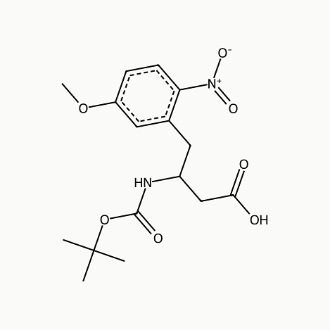 COc1ccc([N+](=O)[O-])c(CC(CC(=O)O)NC(=O)OC(C)(C)C)c1